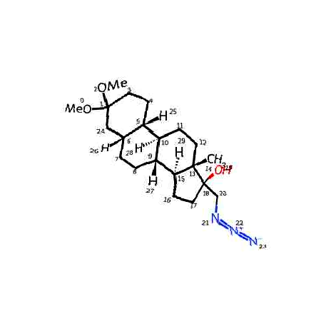 COC1(OC)CC[C@H]2[C@H](CC[C@@H]3[C@@H]2CC[C@@]2(C)[C@H]3CC[C@@]2(O)CN=[N+]=[N-])C1